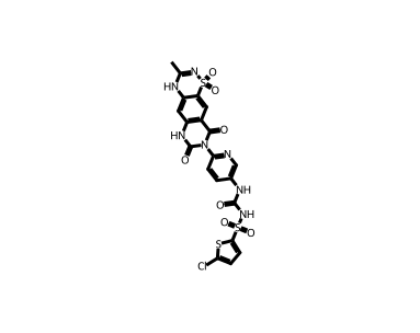 CC1=NS(=O)(=O)c2cc3c(=O)n(-c4ccc(NC(=O)NS(=O)(=O)c5ccc(Cl)s5)cn4)c(=O)[nH]c3cc2N1